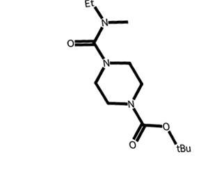 CCN(C)C(=O)N1CCN(C(=O)OC(C)(C)C)CC1